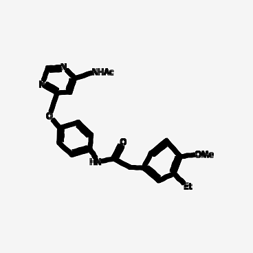 CCc1cc(CC(=O)Nc2ccc(Oc3cc(NC(C)=O)ncn3)cc2)ccc1OC